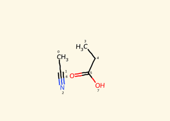 CC#N.CCC(=O)O